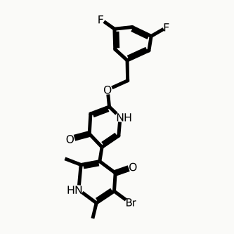 Cc1[nH]c(C)c(-c2c[nH]c(OCc3cc(F)cc(F)c3)cc2=O)c(=O)c1Br